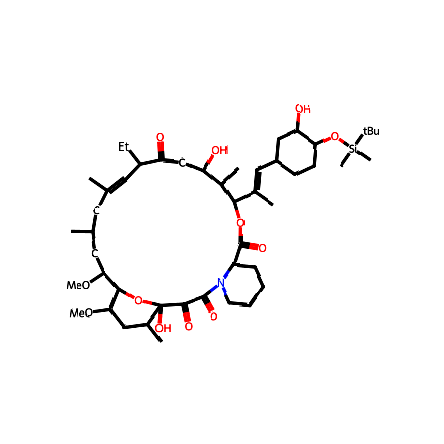 CCC1/C=C(\C)CC(C)CC(OC)C2OC(O)(C(=O)C(=O)N3CCCCC3C(=O)OC(C(C)=CC3CCC(O[Si](C)(C)C(C)(C)C)C(O)C3)C(C)C(O)CC1=O)C(C)CC2OC